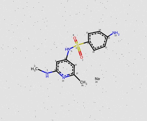 CNc1cc(NS(=O)(=O)c2ccc(N)cc2)cc(C)n1.[Na]